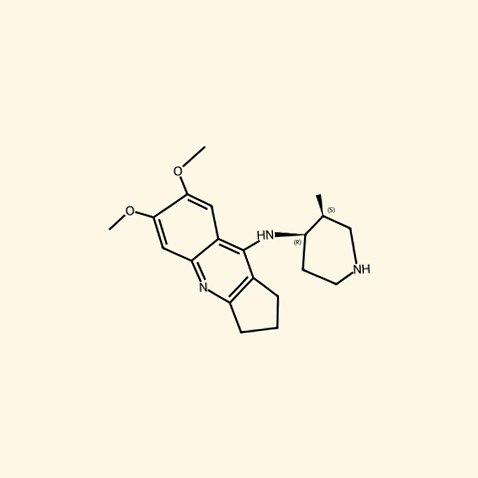 COc1cc2nc3c(c(N[C@@H]4CCNC[C@@H]4C)c2cc1OC)CCC3